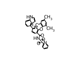 Cc1cc(C)c(Oc2nc(-c3cccc4[nH]ccc34)ccc2C(=O)NS(=O)(=O)c2ccccn2)c(C)c1